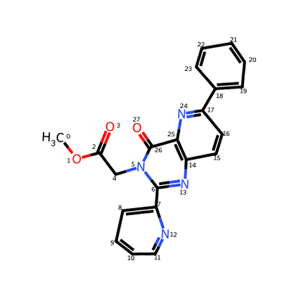 COC(=O)Cn1c(-c2ccccn2)nc2ccc(-c3ccccc3)nc2c1=O